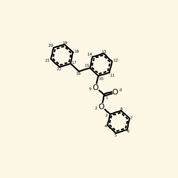 O=C(Oc1ccccc1)Oc1ccccc1Cc1ccccc1